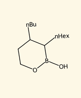 CCCCCCC1B(O)OCCC1CCCC